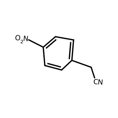 N#CCc1ccc([N+](=O)[O-])cc1